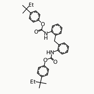 CCC(C)(C)c1ccc(OC(=O)Nc2ccccc2Cc2ccccc2NC(=O)Oc2ccc(C(C)(C)CC)cc2)cc1